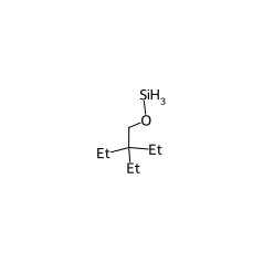 CCC(CC)(CC)CO[SiH3]